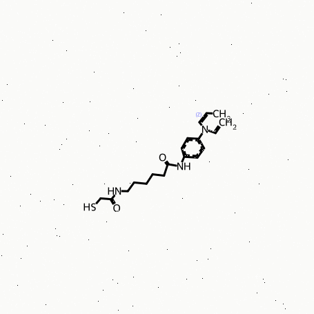 C=CN(/C=C\C)c1ccc(NC(=O)CCCCCNC(=O)CS)cc1